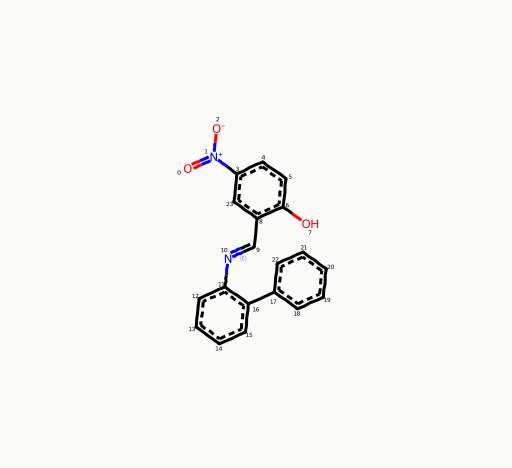 O=[N+]([O-])c1ccc(O)c(/C=N/c2ccccc2-c2ccccc2)c1